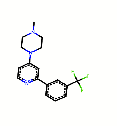 CN1CCN(c2ccnc(-c3cccc(C(F)(F)F)c3)c2)CC1